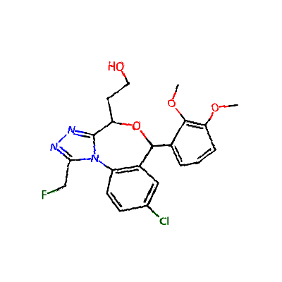 COc1cccc(C2OC(CCO)c3nnc(CF)n3-c3ccc(Cl)cc32)c1OC